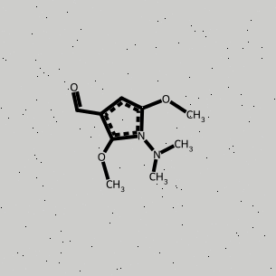 COc1cc(C=O)c(OC)n1N(C)C